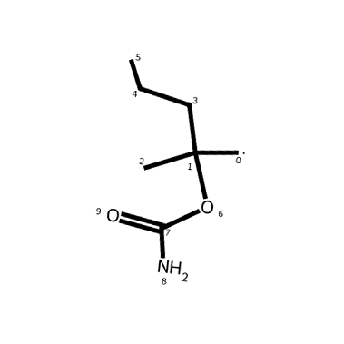 [CH2]C(C)(CCC)OC(N)=O